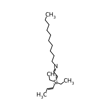 CC=C[Si](CC)(CC)CC=NCCCCCCCCCC